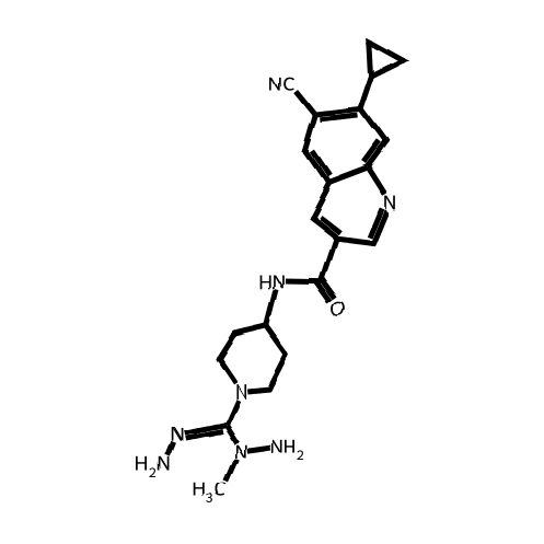 CN(N)/C(=N\N)N1CCC(NC(=O)c2cnc3cc(C4CC4)c(C#N)cc3c2)CC1